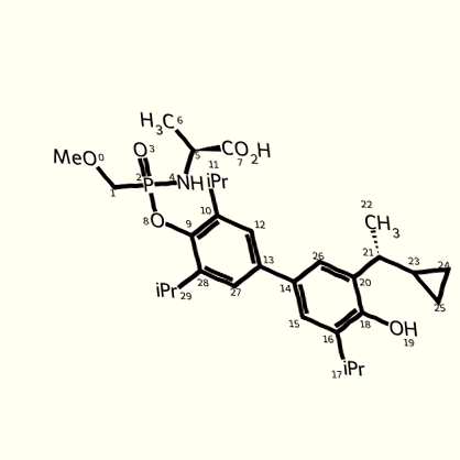 COCP(=O)(N[C@@H](C)C(=O)O)Oc1c(C(C)C)cc(-c2cc(C(C)C)c(O)c([C@H](C)C3CC3)c2)cc1C(C)C